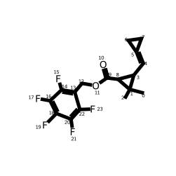 CC1(C)C(C=C2CC2)C1C(=O)OCc1c(F)c(F)c(F)c(F)c1F